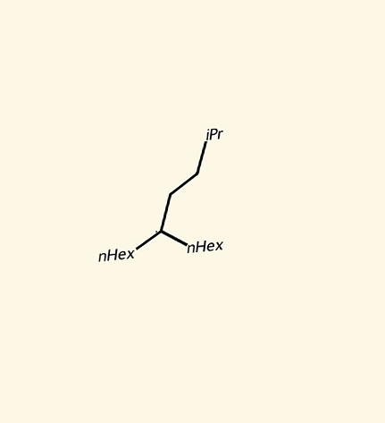 CCCCCC[C](CCCCCC)CCC(C)C